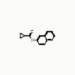 O=C(Oc1ccc2ccccc2c1)C1CC1